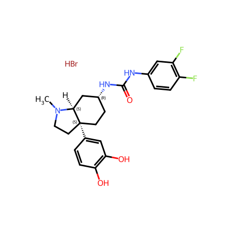 Br.CN1CC[C@]2(c3ccc(O)c(O)c3)CC[C@@H](NC(=O)Nc3ccc(F)c(F)c3)C[C@H]12